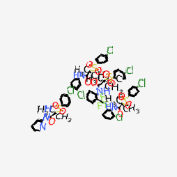 CC(C)(C(=O)Nc1cccc(Cl)c1)S(=O)(=O)c1ccc(Cl)cc1.CC(C)(C(=O)Nc1ccccc1C(F)(F)F)S(=O)(=O)c1ccc(Cl)cc1.CC(C)(C(=O)Nc1ccccc1Cl)S(=O)(=O)c1ccc(Cl)cc1.CC(C)(C(=O)Nc1ccccn1)S(=O)(=O)c1ccc(Cl)cc1